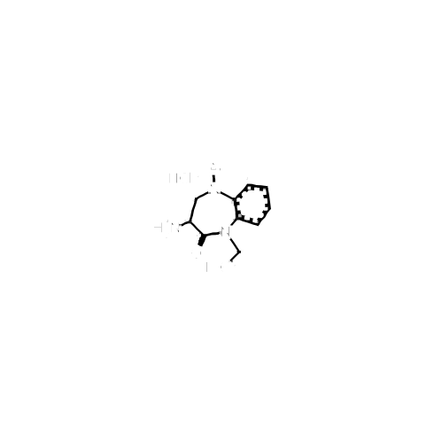 CC(=O)N1CC(N)C(=O)N(CC(F)(F)F)c2ccccc21.Cl